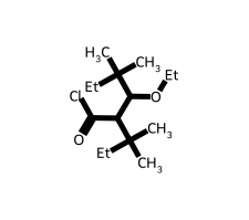 CCOC(C(C(=O)Cl)C(C)(C)CC)C(C)(C)CC